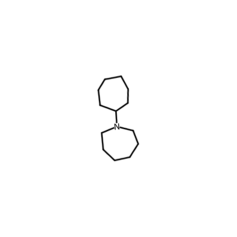 C1CCCC(N2CCCCCC2)CC1